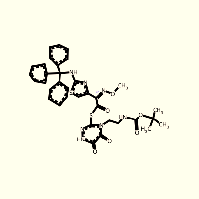 CO/N=C(\C(=O)Sc1n[nH]c(=O)c(=O)n1CCNC(=O)OC(C)(C)C)c1csc(NC(c2ccccc2)(c2ccccc2)c2ccccc2)n1